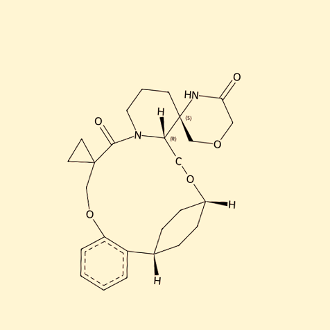 O=C1COC[C@@]2(CCCN3C(=O)C4(CC4)COc4ccccc4[C@H]4CC[C@H](CC4)OC[C@H]32)N1